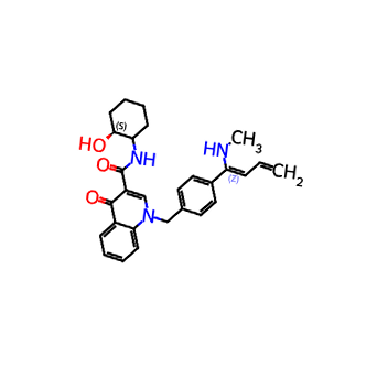 C=C/C=C(\NC)c1ccc(Cn2cc(C(=O)NC3CCCC[C@@H]3O)c(=O)c3ccccc32)cc1